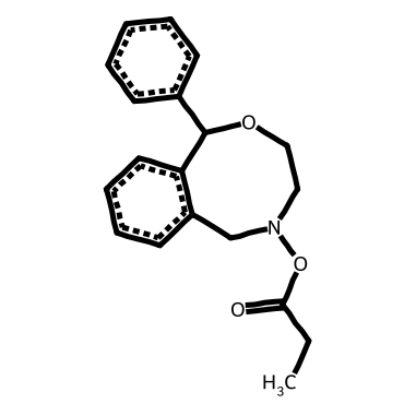 CCC(=O)ON1CCOC(c2ccccc2)c2ccccc2C1